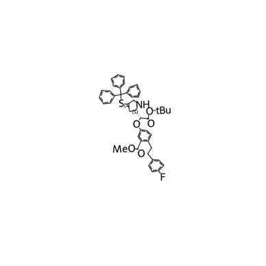 COC(=O)c1cc(OC(C(=O)OC(C)(C)C)[C@@H]2C[C@H](SC(c3ccccc3)(c3ccccc3)c3ccccc3)CN2)ccc1CCc1ccc(F)cc1